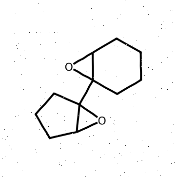 C1CCC2(C34CCCC3O4)OC2C1